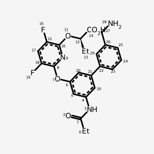 CCC(=O)Nc1cc(Oc2nc(O[C@H](CC)C(=O)O)c(F)cc2F)cc(-c2cccc(CN)c2)c1